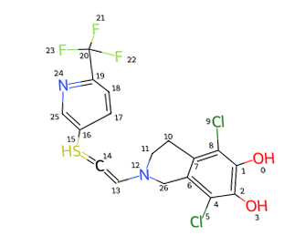 Oc1c(O)c(Cl)c2c(c1Cl)CCN(C=C=[SH]c1ccc(C(F)(F)F)nc1)C2